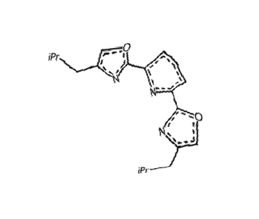 CC(C)Cc1coc(-c2cccc(-c3nc(CC(C)C)co3)n2)n1